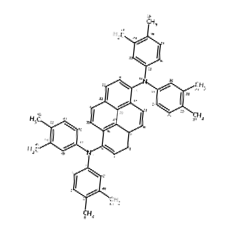 Cc1ccc(N(C2=CCC3C=Cc4c(N(c5ccc(C)c(C)c5)c5ccc(C)c(C)c5)ccc5ccc2c3c45)c2ccc(C)c(C)c2)cc1C